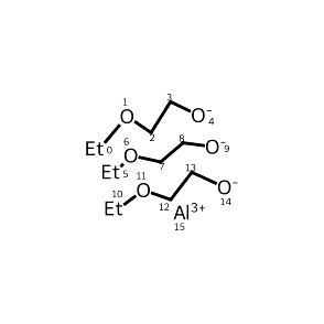 CCOCC[O-].CCOCC[O-].CCOCC[O-].[Al+3]